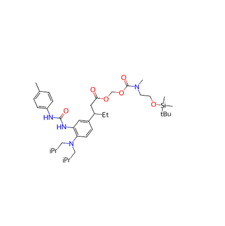 CCC(CC(=O)OCOC(=O)N(C)CCO[Si](C)(C)C(C)(C)C)c1ccc(N(CC(C)C)CC(C)C)c(NC(=O)Nc2ccc(C)cc2)c1